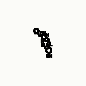 BC(C)(CN1C[C@@H]2C[C@@](O)(Cc3ccccc3)C[C@@H]2C1)c1ccc(O)cc1